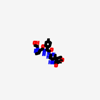 CC1CCC(C(NC(=O)c2ccnn2CCO)C(=O)Nc2cc3c(cn2)C2(CCOCC2)C(=O)N3)CC1